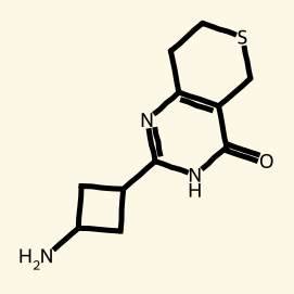 NC1CC(c2nc3c(c(=O)[nH]2)CSCC3)C1